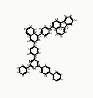 c1ccc(-c2ccc(-c3cc(-c4ccc(-c5cc(-c6ccc(-c7ccc8c9c(cccc79)-c7ccccc7-8)cc6)c6ccccc6c5)cc4)nc(-c4ccccc4)n3)cc2)cc1